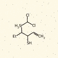 C=CC(S)C(CC)[SiH2]C(Cl)Cl